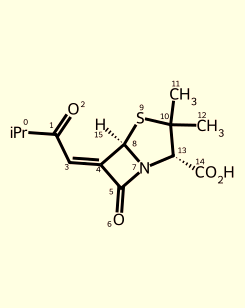 CC(C)C(=O)C=C1C(=O)N2[C@@H]1SC(C)(C)[C@@H]2C(=O)O